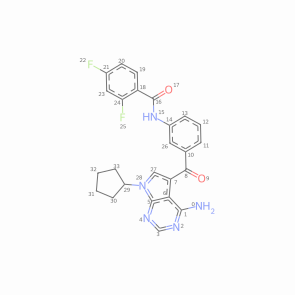 Nc1ncnc2c1c(C(=O)c1cccc(NC(=O)c3ccc(F)cc3F)c1)cn2C1CCCC1